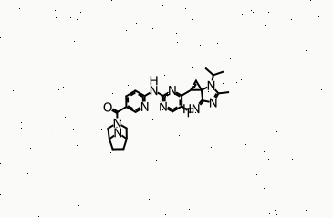 CC1=NC(=N)C2(C=C2c2nc(Nc3ccc(C(=O)N4CC5CCC(C4)N5C)cn3)ncc2F)N1C(C)C